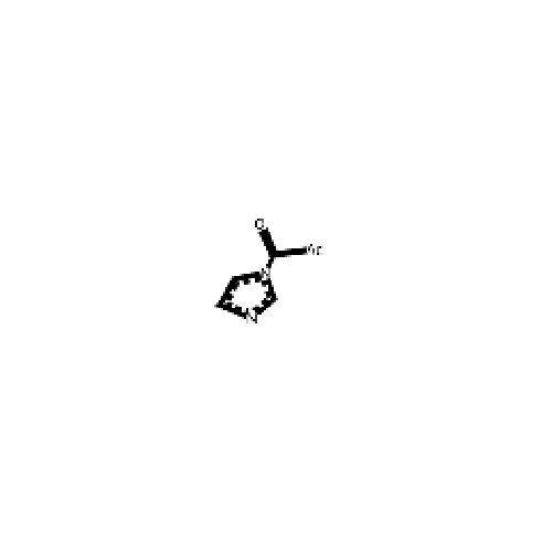 CC(=O)C(=O)n1ccnc1